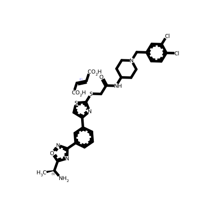 C[C@H](N)c1nc(-c2cccc(-c3csc(SCC(=O)NC4CCN(Cc5ccc(Cl)c(Cl)c5)CC4)n3)c2)no1.O=C(O)/C=C/C(=O)O